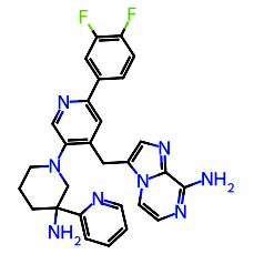 Nc1nccn2c(Cc3cc(-c4ccc(F)c(F)c4)ncc3N3CCCC(N)(c4ccccn4)C3)cnc12